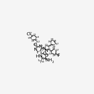 CC(C)[C@H](NC(=O)c1cnc(OCc2ccc(Cl)cc2)nc1N1CC(c2ccccc2)C(c2ccc(F)cc2)=N1)C(N)=O